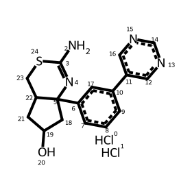 Cl.Cl.NC1=NC2(c3cccc(-c4cncnc4)c3)CC(O)CC2CS1